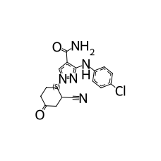 N#CC1CC(=O)CC[C@@H]1n1cc(C(N)=O)c(Nc2ccc(Cl)cc2)n1